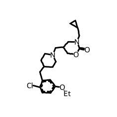 CCOc1ccc(Cl)c(CC2CCN(CC3COC(=O)N(CC4CC4)C3)CC2)c1